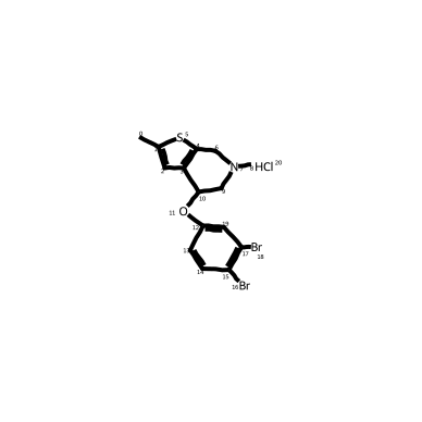 Cc1cc2c(s1)CN(C)CC2Oc1ccc(Br)c(Br)c1.Cl